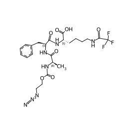 C[C@@H](NC(=O)OCCN=[N+]=[N-])C(=O)N[C@@H](Cc1ccccc1)C(=O)N[C@@H](CCCCNC(=O)C(F)(F)F)C(=O)O